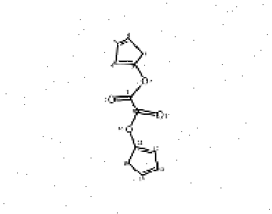 O=C(OC1=CC=CC1)C(=O)OC1=CC=CC1